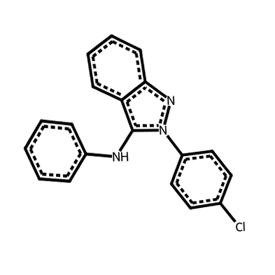 Clc1ccc(-n2nc3ccccc3c2Nc2ccccc2)cc1